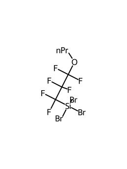 CCCOC(F)(F)C(F)(F)C(F)(F)[Si](Br)(Br)Br